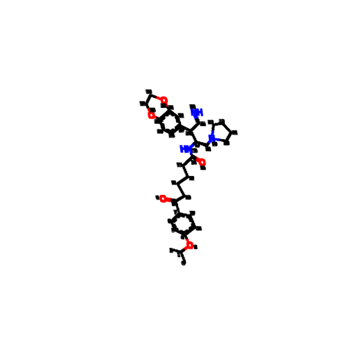 CC(C)Oc1ccc(C(=O)CCCCC(=O)N[C@H](CN2CCCC2)[C@H](C=N)c2ccc3c(c2)OCCO3)cc1